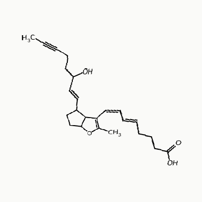 CC#CCCC(O)/C=C/C1CCC2OC(C)=C(/C=C\C=C\CCCC(=O)O)C12